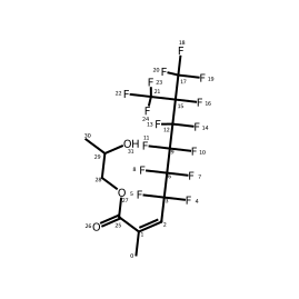 CC(=CC(F)(F)C(F)(F)C(F)(F)C(F)(F)C(F)(C(F)(F)F)C(F)(F)F)C(=O)OCC(C)O